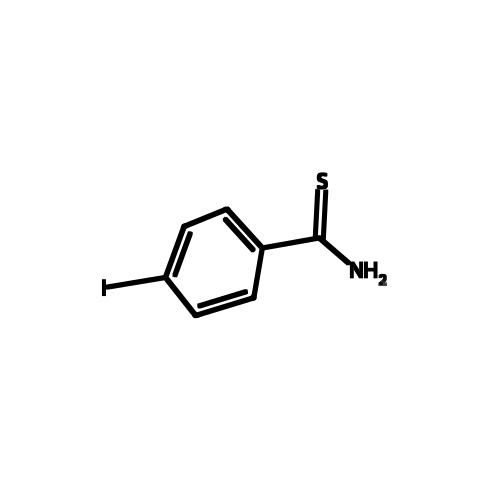 NC(=S)c1ccc(I)cc1